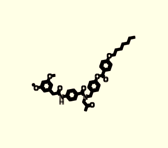 CCCCCCCOc1ccc(C(=O)Oc2ccc(CN(CC(C)=O)C(=O)c3ccc(NC(=O)Cc4cc(OC)cc(OC)c4)cc3)cc2)cc1